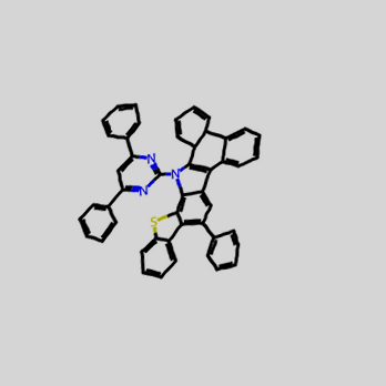 C1=CC2c3ccccc3-c3c(n(-c4nc(-c5ccccc5)cc(-c5ccccc5)n4)c4c3cc(-c3ccccc3)c3c5ccccc5sc34)C2C=C1